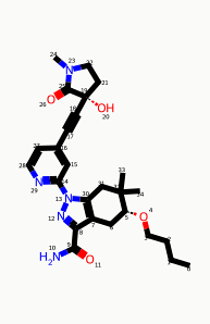 CCCCO[C@@H]1Cc2c(C(N)=O)nn(-c3cc(C#C[C@]4(O)CCN(C)C4=O)ccn3)c2CC1(C)C